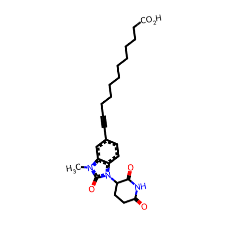 Cn1c(=O)n(C2CCC(=O)NC2=O)c2ccc(C#CCCCCCCCCCC(=O)O)cc21